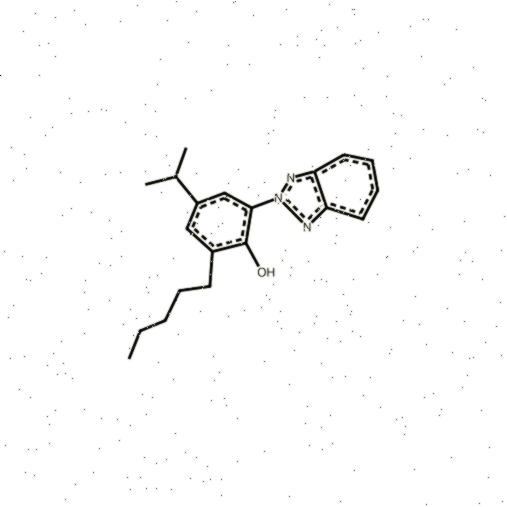 CCCCCc1cc(C(C)C)cc(-n2nc3ccccc3n2)c1O